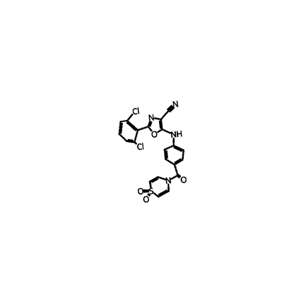 N#Cc1nc(-c2c(Cl)cccc2Cl)oc1Nc1ccc(C(=O)N2C=CS(=O)(=O)C=C2)cc1